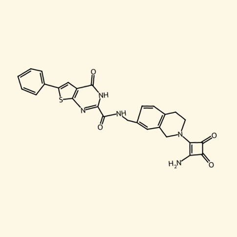 Nc1c(N2CCc3ccc(CNC(=O)c4nc5sc(-c6ccccc6)cc5c(=O)[nH]4)cc3C2)c(=O)c1=O